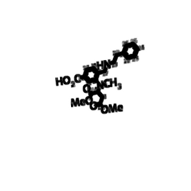 COC(=O)CC(C(=O)OC)N(C)c1cc(C(=O)O)ccc1CNCCc1ccccc1